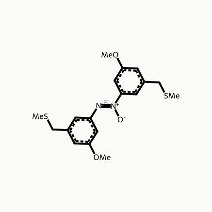 COc1cc(CSC)cc(/N=[N+](\[O-])c2cc(CSC)cc(OC)c2)c1